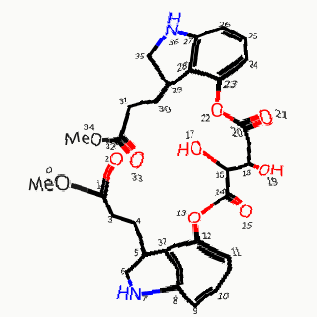 COC(=O)CCC1CNc2cccc(OC(=O)C(O)C(O)C(=O)Oc3cccc4c3C(CCC(=O)OC)CN4)c21